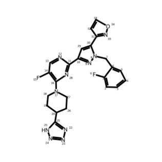 Fc1ccccc1Cn1nc(-c2ncc(F)c(N3CCC(c4nnn[nH]4)CC3)n2)cc1-c1ccon1